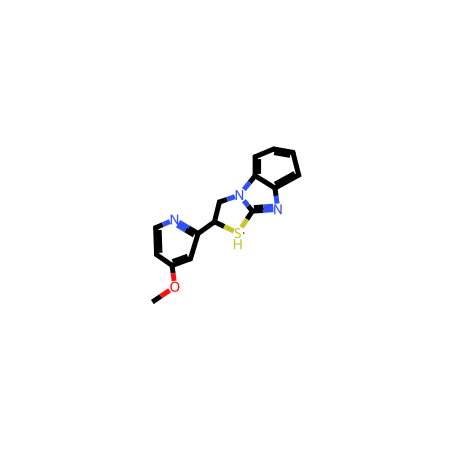 COc1ccnc(C2Cn3c(nc4ccccc43)[SH]2)c1